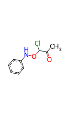 CC(=O)C(Cl)ONc1ccccc1